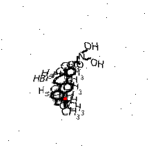 Br.CC1(C)CC[C@]23CC[C@]4(C)[C@H](CC[C@@H]5[C@@]6(C)CC[C@H](OC(=O)CN(CCO)CCO)C(C)(C)[C@@H]6CC[C@]54C)[C@H]2[C@H]1OC3